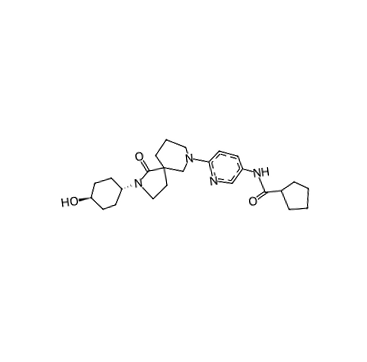 O=C(Nc1ccc(N2CCCC3(CCN([C@H]4CC[C@H](O)CC4)C3=O)C2)nc1)C1CCCC1